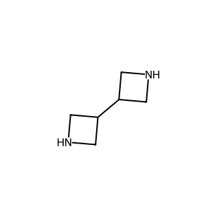 C1NCC1C1CNC1